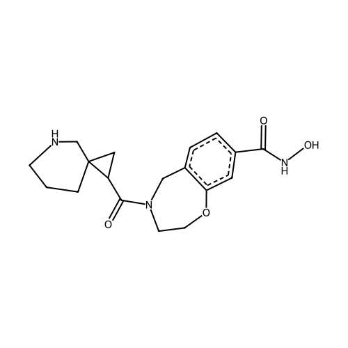 O=C(NO)c1ccc2c(c1)OCCN(C(=O)C1CC13CCCNC3)C2